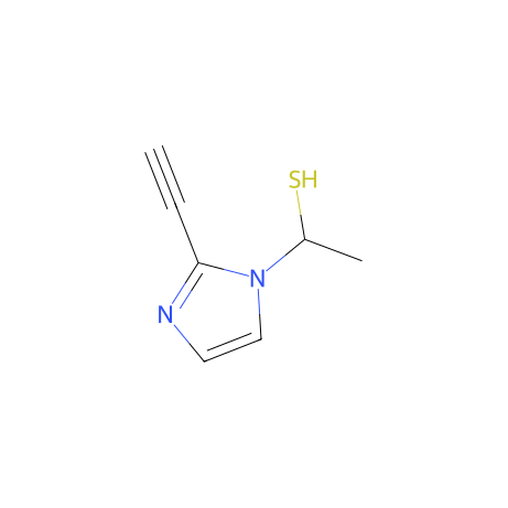 C#Cc1nccn1C(C)S